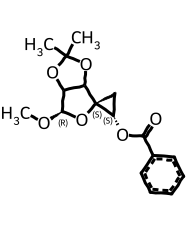 CO[C@@H]1O[C@]2(C[C@@H]2OC(=O)c2ccccc2)C2OC(C)(C)OC21